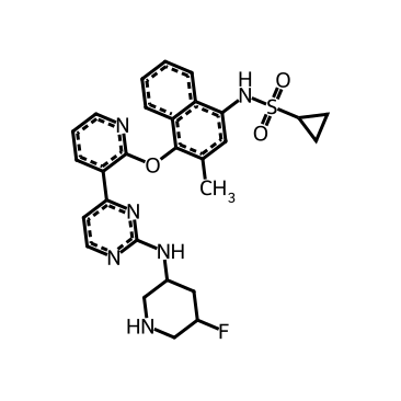 Cc1cc(NS(=O)(=O)C2CC2)c2ccccc2c1Oc1ncccc1-c1ccnc(NC2CNCC(F)C2)n1